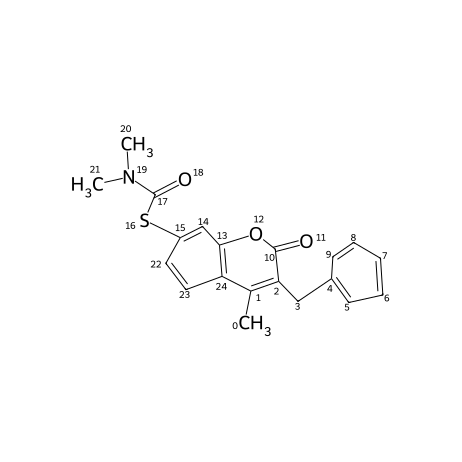 Cc1c(Cc2ccccc2)c(=O)oc2cc(SC(=O)N(C)C)ccc12